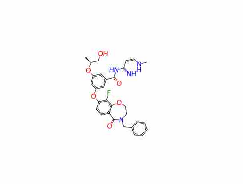 CN/C=C\C(=N)NC(=O)c1cc(Oc2ccc3c(c2F)OCCN(Cc2ccccc2)C3=O)cc(O[C@@H](C)CO)c1